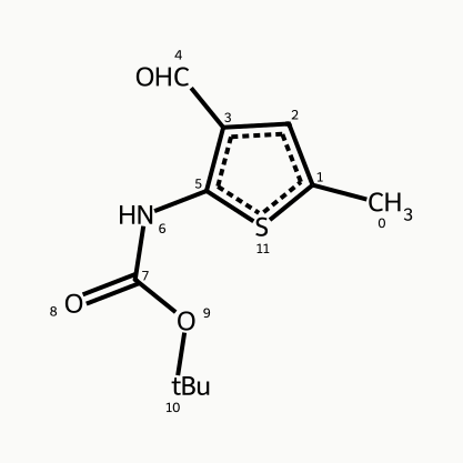 Cc1cc(C=O)c(NC(=O)OC(C)(C)C)s1